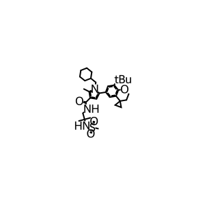 Cc1c(C(=O)NCC(C)(C)NS(C)(=O)=O)cc(-c2cc(C(C)(C)C)c3c(c2)C2(CCO3)CC2)n1CC1CCCCC1